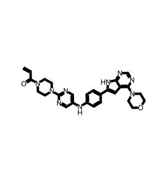 C=CC(=O)N1CCN(c2ncc(Nc3ccc(-c4cc5c(N6CCOCC6)ncnc5[nH]4)cc3)cn2)CC1